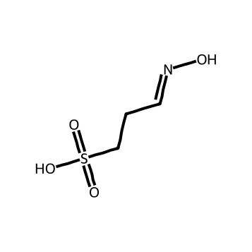 O=S(=O)(O)CCC=NO